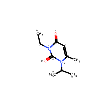 CCn1c(=O)cc(C)n(C(C)C)c1=O